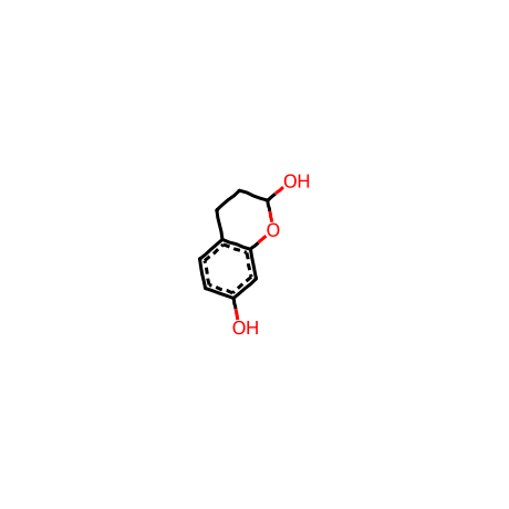 Oc1ccc2c(c1)OC(O)CC2